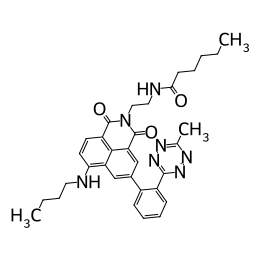 CCCCCC(=O)NCCN1C(=O)c2ccc(NCCCC)c3cc(-c4ccccc4-c4nnc(C)nn4)cc(c23)C1=O